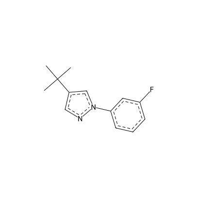 CC(C)(C)c1cnn(-c2cccc(F)c2)c1